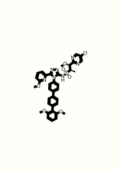 COc1cccc(-c2nnc(NS(=O)(=O)[C@H](C)[C@@H](OC)c3ncc(Cl)cn3)n2-c2ccc(-c3ccc(-c4c(OC)cccc4OC)cc3)cc2)n1